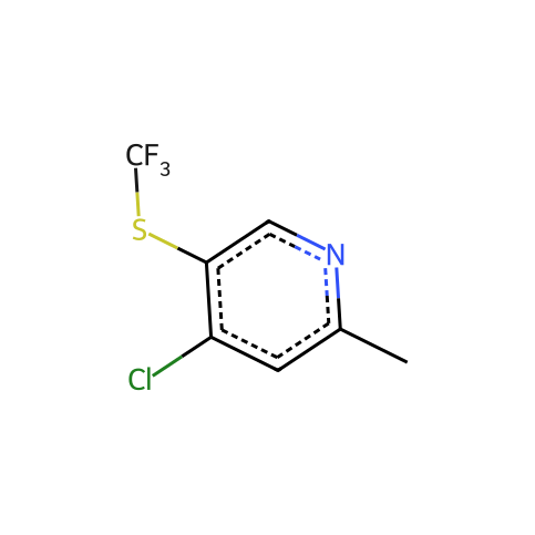 Cc1cc(Cl)c(SC(F)(F)F)cn1